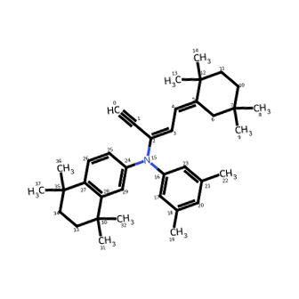 C#C/C(=C\C=C1/CC(C)(C)CCC1(C)C)N(c1cc(C)cc(C)c1)c1ccc2c(c1)C(C)(C)CCC2(C)C